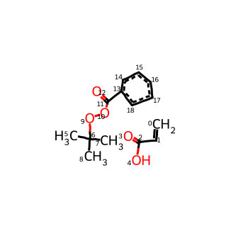 C=CC(=O)O.CC(C)(C)OOC(=O)c1ccccc1